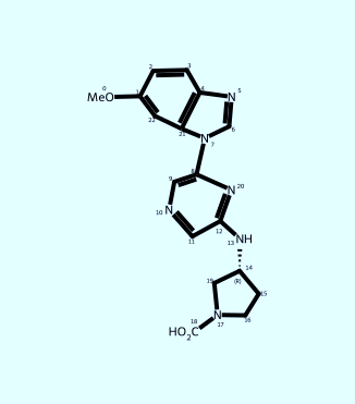 COc1ccc2ncn(-c3cncc(N[C@@H]4CCN(C(=O)O)C4)n3)c2c1